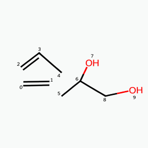 C=C.C=CC.CC(O)CO